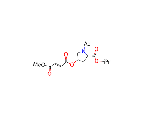 COC(=O)/C=C/C(=O)O[C@@H]1C[C@@H](C(=O)OC(C)C)N(C(C)=O)C1